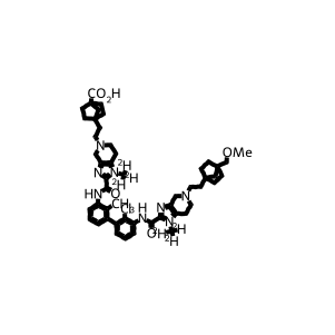 [2H]C([2H])([2H])n1c(C(=O)Nc2cccc(-c3cccc(NC(=O)c4nc5c(n4C([2H])([2H])[2H])CCN(CCC46CCC(COC)(CC4)C6)C5)c3Cl)c2C)nc2c1CCN(CCC13CCC(C(=O)O)(CC1)C3)C2